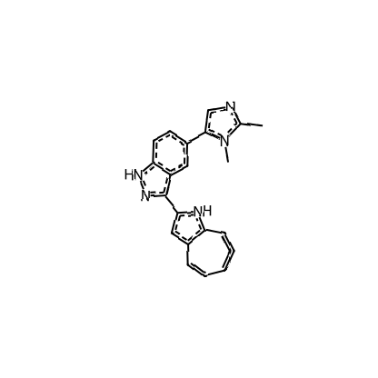 Cc1ncc(-c2ccc3[nH]nc(-c4cc5c([nH]4)C=C=CC=C5)c3c2)n1C